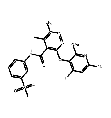 COc1nc(C#N)cc(F)c1Oc1nnc(C(F)(F)F)c(C)c1C(=O)Nc1cccc(S(C)(=O)=O)c1